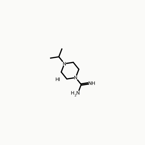 CC(C)N1CCN(C(=N)N)CC1.I